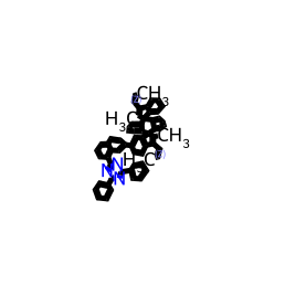 C/C=C\C1=C(C)C2(c3ccccc31)c1ccccc1C1(C(C)=C(/C=C\C)c3ccc(-c4ccc5cccc(-c6nc(-c7ccccc7)nc(-c7ccccc7)n6)c5c4)cc31)c1ccccc12